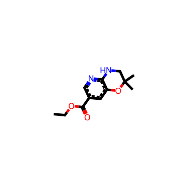 CCOC(=O)c1cnc2c(c1)OC(C)(C)CN2